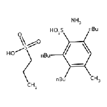 CCCCc1cc(C)c(CCCC)c(CCCC)c1S(=O)(=O)O.CCCS(=O)(=O)O.N